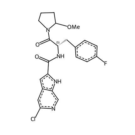 COC1CCCN1C(=O)[C@H](Cc1ccc(F)cc1)NC(=O)c1cc2cc(Cl)ncc2[nH]1